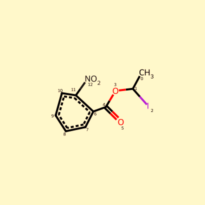 CC(I)OC(=O)c1ccccc1[N+](=O)[O-]